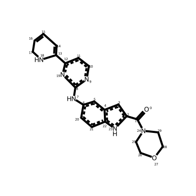 O=C(c1cc2cc(Nc3nccc(C4=CC=CCN4)n3)ccc2[nH]1)N1CCOCC1